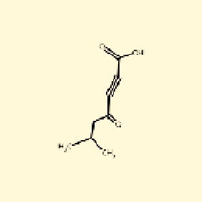 CC(C)CC(=O)C#CC(=O)O